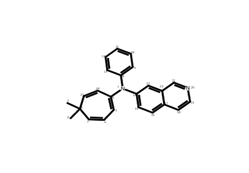 CC1(C)C=CC=C(N(c2ccccc2)c2ccc3ccncc3c2)C=C1